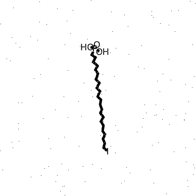 O=P(O)(O)CCCCCCCCCCCCCCCCCCCCCCCI